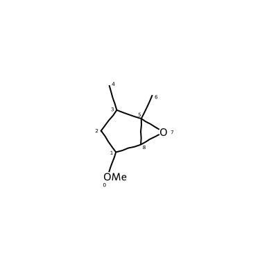 COC1CC(C)C2(C)OC12